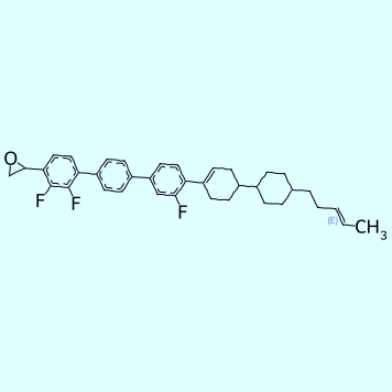 C/C=C/CCC1CCC(C2CC=C(c3ccc(-c4ccc(-c5ccc(C6CO6)c(F)c5F)cc4)cc3F)CC2)CC1